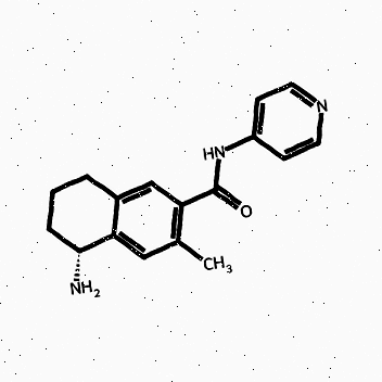 Cc1cc2c(cc1C(=O)Nc1ccncc1)CCC[C@H]2N